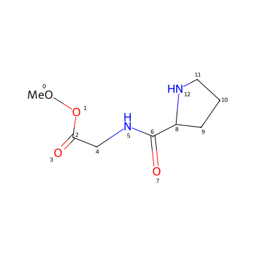 COOC(=O)CNC(=O)C1CCCN1